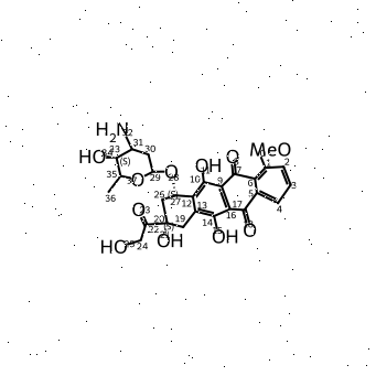 COc1cccc2c1C(=O)c1c(O)c3c(c(O)c1C2=O)C[C@@](O)(C(=O)CO)C[C@@H]3OC1CC(N)[C@H](O)C(C)O1